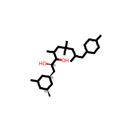 CC1CCC(CC(C)CC(C)(C)CC(C)C(O)[C@H](O)C[C@@H]2CC(C)C[C@H](C)C2)CC1